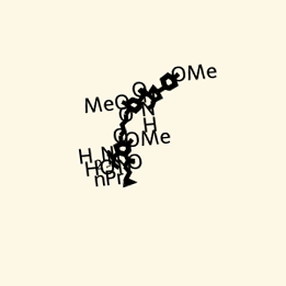 CCCC1(CN2C[C@H](O)N(N)c3cc(OCCCOc4cc5c(cc4OC)C(=O)N4C=C(c6ccc(OC)cc6)CC4CN5)c(OC)cc3C2=O)CC1